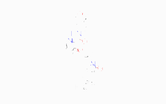 O=C(NCC1CCOCC1)c1ncccc1OCC1CCN(C(=O)C2CCC(C(F)(F)F)CC2)C1